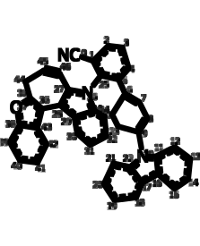 N#Cc1cccc(C2=CC=C(n3c4ccccc4c4ccccc43)CC2)c1-n1c2c(c3ccccc31)-c1c(oc3ccccc13)CC#C2